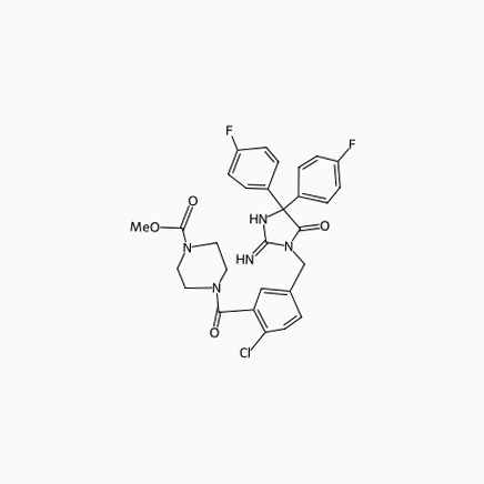 COC(=O)N1CCN(C(=O)c2cc(CN3C(=N)NC(c4ccc(F)cc4)(c4ccc(F)cc4)C3=O)ccc2Cl)CC1